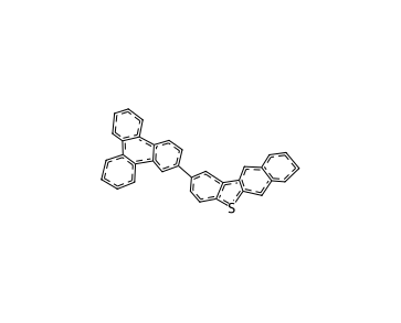 c1ccc2cc3c(cc2c1)sc1ccc(-c2ccc4c5ccccc5c5ccccc5c4c2)cc13